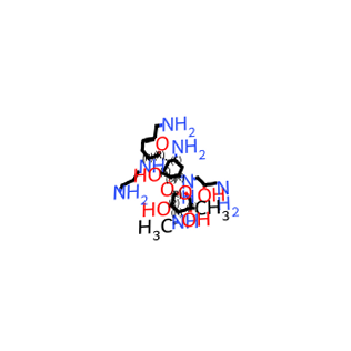 CN[C@@H]1[C@@H](O)[C@@H](O[C@H]2[C@H](NCC(O)CN)C[C@H](N)C([C@H]3OC(CN)=CC[C@H]3NCCCN)[C@@H]2O)OC[C@]1(C)O